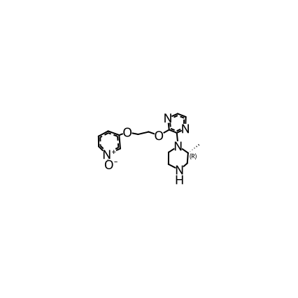 C[C@@H]1CNCCN1c1nccnc1OCCOc1ccc[n+]([O-])c1